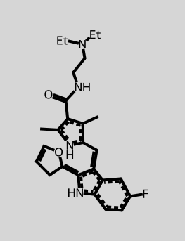 CCN(CC)CCNC(=O)c1c(C)[nH]c(/C=c2\c(=C3\CC=CO3)[nH]c3ccc(F)cc23)c1C